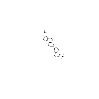 Cc1nc2c(ccc3c4ccc(-c5ccc6c(ccc7nc(C)[nH]c76)c5)cc4ccc32)[nH]1